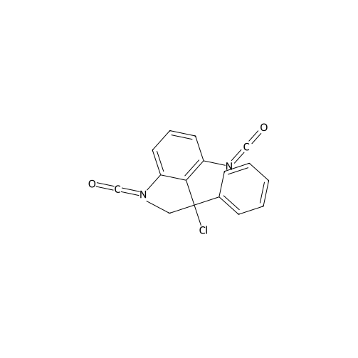 CCC(Cl)(c1ccccc1)c1c(N=C=O)cccc1N=C=O